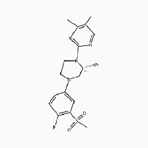 Cc1cnc(N2CCN(c3ccc(F)c(S(C)(=O)=O)c3)C[C@H]2C(C)C)nc1C